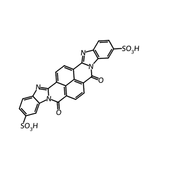 O=c1c2ccc3c(=O)n4c5cc(S(=O)(=O)O)ccc5nc4c4ccc(c2c34)c2nc3ccc(S(=O)(=O)O)cc3n12